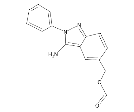 Nc1c2cc(COC=O)ccc2nn1-c1ccccc1